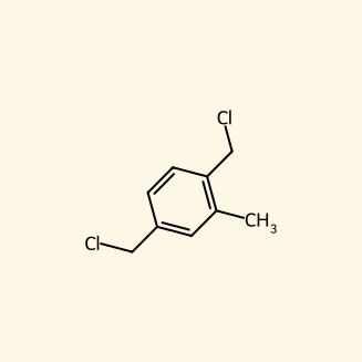 Cc1cc(CCl)ccc1CCl